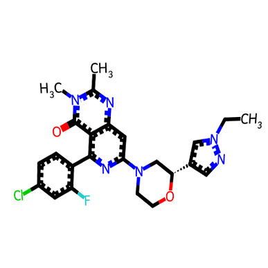 CCn1cc([C@H]2CN(c3cc4nc(C)n(C)c(=O)c4c(-c4ccc(Cl)cc4F)n3)CCO2)cn1